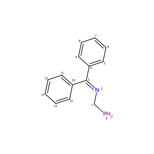 PCN=C(c1ccccc1)c1ccccc1